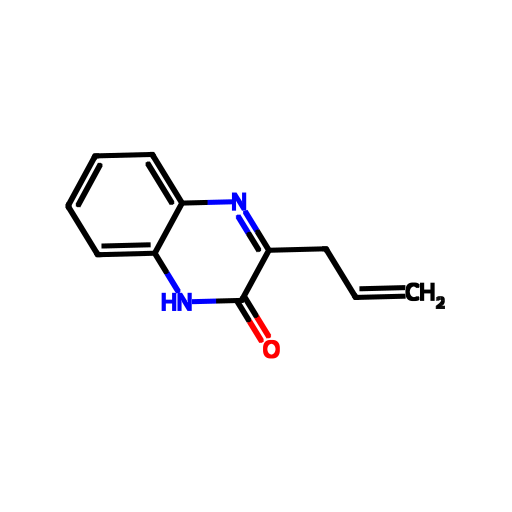 C=CCc1nc2ccccc2[nH]c1=O